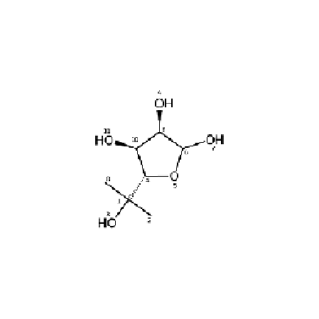 CC(C)(O)[C@H]1OC(O)[C@H](O)[C@@H]1O